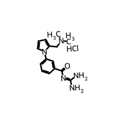 CN(C)Cc1cccn1-c1cccc(C(=O)N=C(N)N)c1.Cl